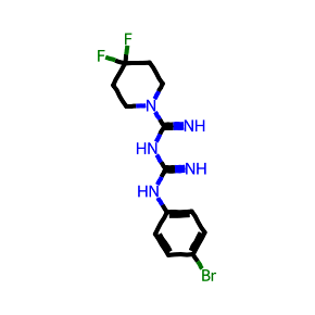 N=C(NC(=N)N1CCC(F)(F)CC1)Nc1ccc(Br)cc1